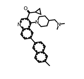 Cc1ccc2cc(-c3ccc4ncc(C(=O)C5CC5)c(N5CCC(CN(C)C)CC5)c4c3)ccc2c1